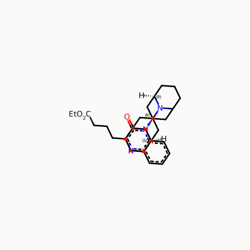 CCOC(=O)CCCc1nc2ccccc2n([C@@H]2CC3CCC[C@H](C2)N3C2CC3CCC[C@@H](C3)C2)c1=O